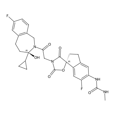 CNC(=O)Nc1cc2c(cc1F)[C@@]1(CC2)OC(=O)N(CC(=O)N2Cc3ccc(F)cc3CC[C@@]2(O)C2CC2)C1=O